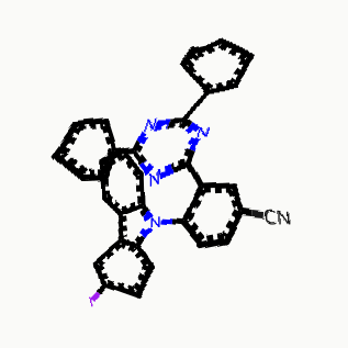 N#Cc1ccc(-n2c3ccccc3c3cc(I)ccc32)c(-c2nc(-c3ccccc3)nc(-c3ccccc3)n2)c1